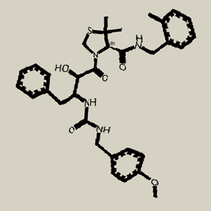 COc1ccc(CNC(=O)NC(Cc2ccccc2)C(O)C(=O)N2CSC(C)(C)[C@H]2C(=O)NCc2ccccc2C)cc1